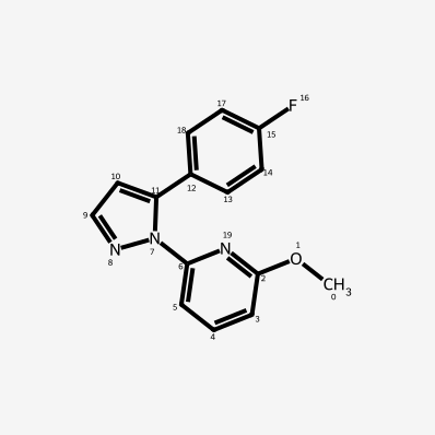 COc1cccc(-n2nccc2-c2ccc(F)cc2)n1